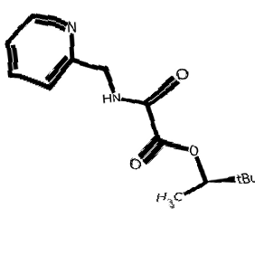 C[C@@H](OC(=O)C(=O)NCc1ccccn1)C(C)(C)C